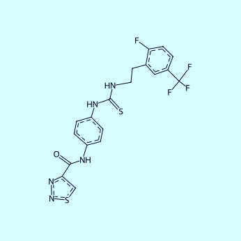 O=C(Nc1ccc(NC(=S)NCCc2cc(C(F)(F)F)ccc2F)cc1)c1csnn1